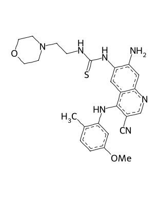 COc1ccc(C)c(Nc2c(C#N)cnc3cc(N)c(NC(=S)NCCN4CCOCC4)cc23)c1